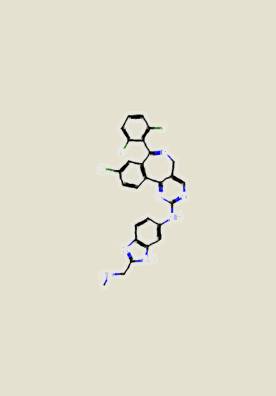 CNCc1nc2ccc(Nc3ncc4c(n3)-c3ccc(Cl)cc3C(c3c(F)cccc3F)=NC4)cc2[nH]1